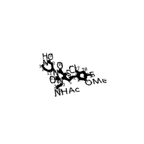 COc1cc(-c2cc3c(s2)c(=O)n([C@@H]2CCCNC(=O)C2)c(=O)n3CCNC(C)=O)c(Cl)cc1F